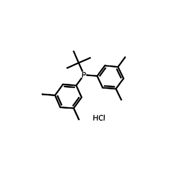 Cc1cc(C)cc(P(c2cc(C)cc(C)c2)C(C)(C)C)c1.Cl